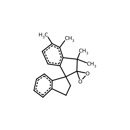 Cc1ccc2c(c1C)C(C)(C)C1(OO1)C21CCc2ccccc21